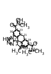 C[C@H](N)CC1(c2nn[nH]n2)c2ccc(C(=O)N(C)C)cc2Cc2cc(C(=O)N(C)C)ccc21